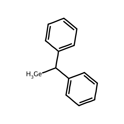 [GeH3][CH](c1ccccc1)c1ccccc1